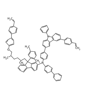 C=Cc1ccc(-c2ccc(OCC(C)CCC(C)CC3(c4cc(C)ccc4C)c4ccccc4-c4ccc(N(c5ccc(-c6ccccc6)cc5)c5ccc(-c6ccc7c(c6)c6cc(-c8ccc(C=C)cc8)ccc6n7-c6ccccc6)cc5)cc43)cc2)cc1